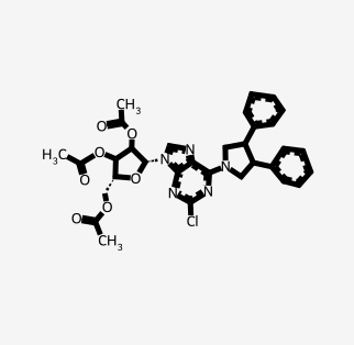 CC(=O)OC[C@H]1O[C@@H](n2cnc3c(N4CC(c5ccccc5)C(c5ccccc5)C4)nc(Cl)nc32)C(OC(C)=O)C1OC(C)=O